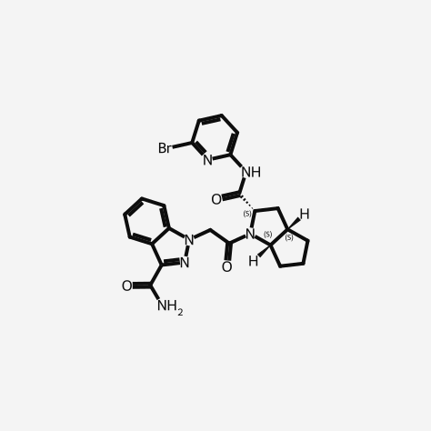 NC(=O)c1nn(CC(=O)N2[C@H](C(=O)Nc3cccc(Br)n3)C[C@@H]3CCC[C@@H]32)c2ccccc12